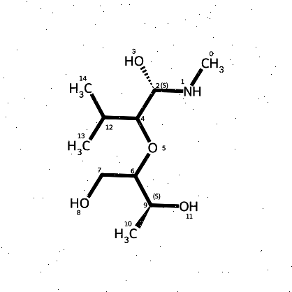 CN[C@@H](O)C(OC(CO)[C@H](C)O)C(C)C